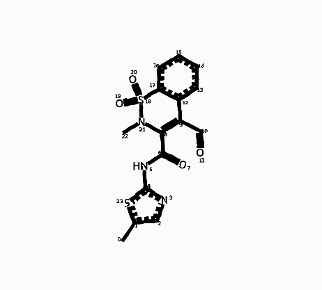 Cc1cnc(NC(=O)C2=C(C=O)c3ccccc3S(=O)(=O)N2C)s1